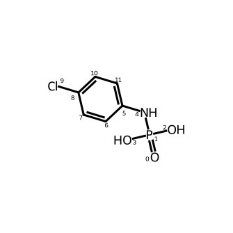 O=P(O)(O)Nc1ccc(Cl)cc1